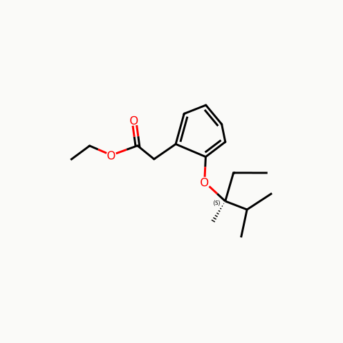 CCOC(=O)Cc1ccccc1O[C@@](C)(CC)C(C)C